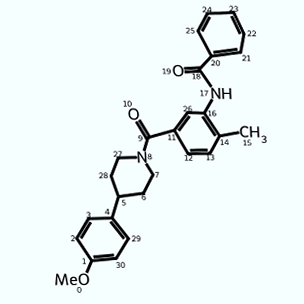 COc1ccc(C2CCN(C(=O)c3ccc(C)c(NC(=O)c4ccccc4)c3)CC2)cc1